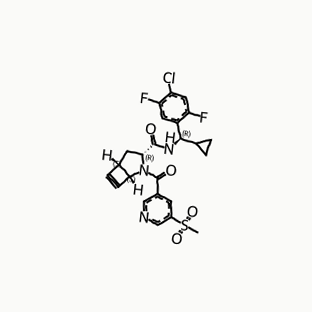 CS(=O)(=O)c1cncc(C(=O)N2[C@@H](C(=O)N[C@@H](c3cc(F)c(Cl)cc3F)C3CC3)C[C@H]3C#C[C@H]32)c1